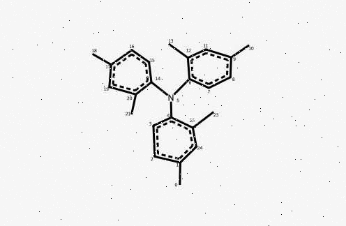 Cc1ccc(N(c2ccc(C)cc2C)c2ccc(C)cc2C)c(C)c1